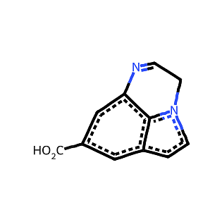 O=C(O)c1cc2c3c(ccn3CC=N2)c1